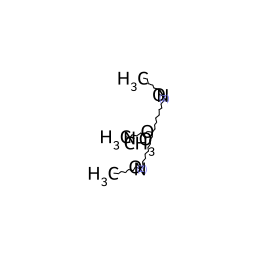 CCCCCCO/N=C\CCCCCCCCC(CCCCCCCC/C=N\OCCCCCC)OC(=O)CCCN(C)C